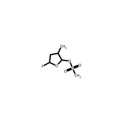 CC1CC(F)OC1OS(C)(=O)=O